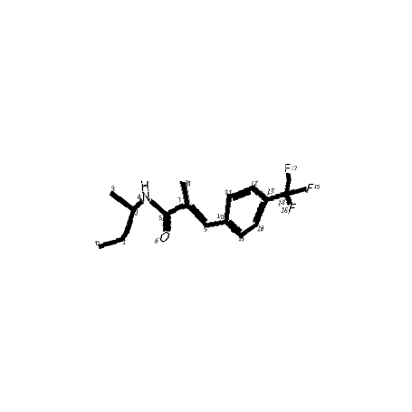 CCC(C)NC(=O)/C(C)=C/c1ccc(C(F)(F)F)cc1